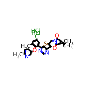 Cc1cc(Cl)cc(-c2ncnc3cc(CN4C(=O)C5C(C4=O)C5(C)C)sc23)c1O[C@H]1CC[C@H](C)NC1.Cl.Cl